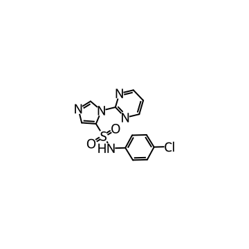 O=S(=O)(Nc1ccc(Cl)cc1)c1cncn1-c1ncccn1